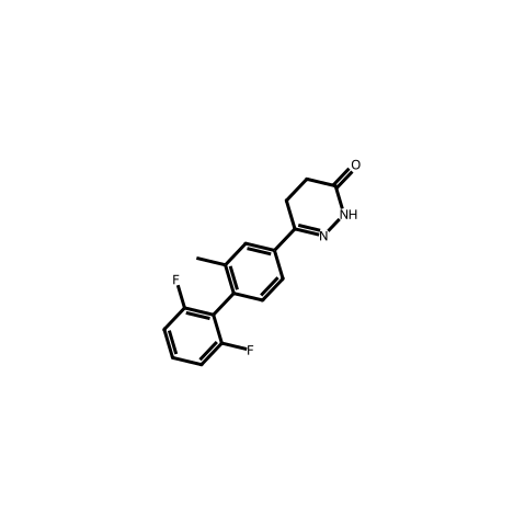 Cc1cc(C2=NNC(=O)CC2)ccc1-c1c(F)cccc1F